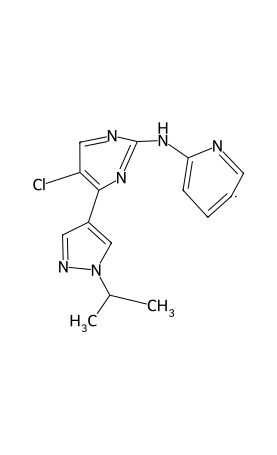 CC(C)n1cc(-c2nc(Nc3cc[c]cn3)ncc2Cl)cn1